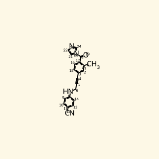 Cc1cc(C#CCNc2ccc(C#N)cc2)ccc1C(=O)n1ccnc1